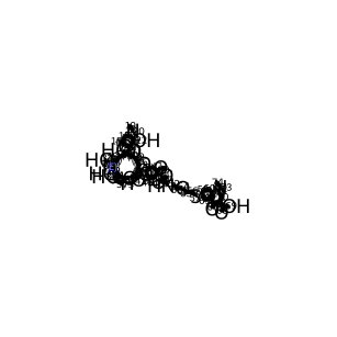 CO[C@]1(C)C[C@H](O[C@H]2[C@H](C)[C@@H](O[C@@H]3O[C@H](C)C[C@H](N(C)C)[C@H]3O)[C@](C)(O)C[C@@H](C)/C(=N\O)[C@@H](O)[C@@]3(O)CC[C@H]3OC(=O)[C@@H]2C)O[C@@H](C)[C@@H]1OC(=O)NCCOCCSc1ccc2c(c1)c(=O)c(C(=O)O)cn2N(C)C